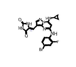 O=C1NC(=O)/C(=C/c2cnn3c(NC4CC4)cc(Nc4ccc(Br)cc4F)nc23)N1